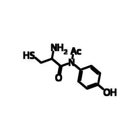 CC(=O)N(C(=O)C(N)CS)c1ccc(O)cc1